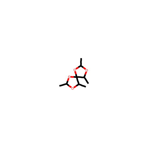 CC1OC(C)C2(O1)OC(C)OC2C